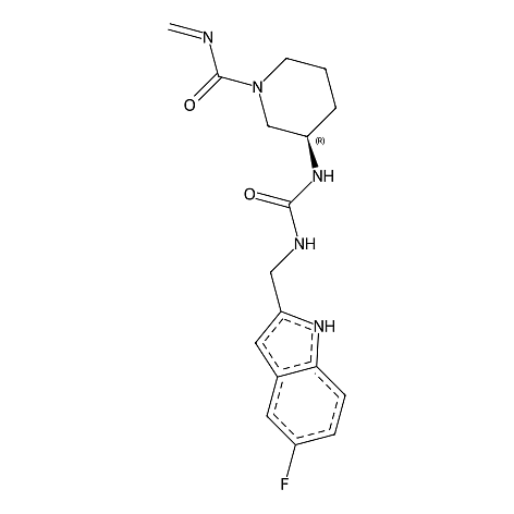 C=NC(=O)N1CCC[C@@H](NC(=O)NCc2cc3cc(F)ccc3[nH]2)C1